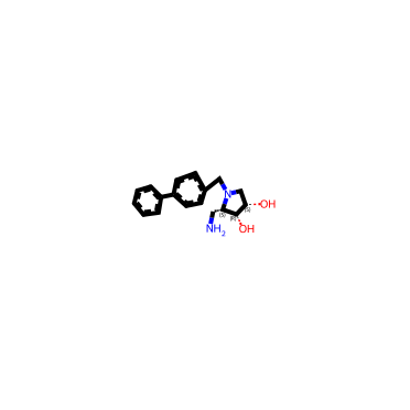 NC[C@H]1[C@@H](O)[C@@H](O)CN1Cc1ccc(-c2ccccc2)cc1